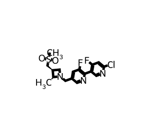 C[C@@H]1[C@@H](CS(C)(=O)=O)CN1Cc1cnc(-c2cnc(Cl)cc2F)c(F)c1